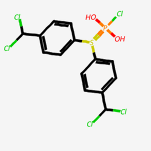 OP(O)(Cl)=S(c1ccc(C(Cl)Cl)cc1)c1ccc(C(Cl)Cl)cc1